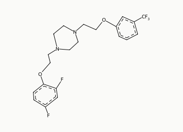 Fc1ccc(OCCN2CCN(CCOc3cccc(C(F)(F)F)c3)CC2)c(F)c1